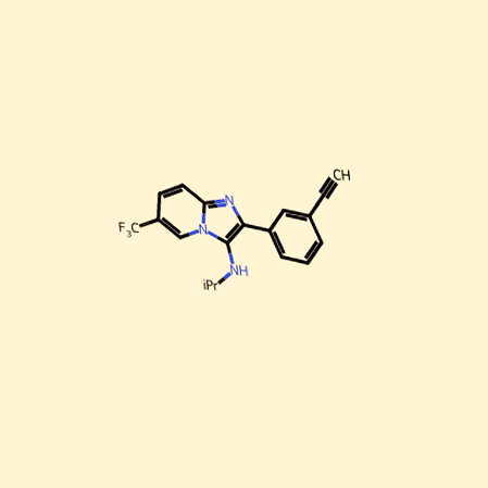 C#Cc1cccc(-c2nc3ccc(C(F)(F)F)cn3c2NC(C)C)c1